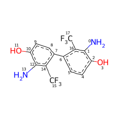 Nc1c(O)ccc(-c2ccc(O)c(N)c2C(F)(F)F)c1C(F)(F)F